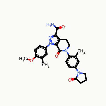 COc1ccc(-n2nc(C(N)=O)c3c2C(=O)N(c2ccc(N4CCCC4=O)cc2C)CC3)cc1C